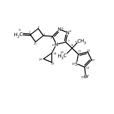 C=C1CC(c2nnc(C(C)(C)c3ccc(Br)s3)n2C2CC2)C1